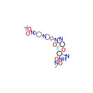 CCN(C)S(=O)(=O)Nc1ccc(F)c(Oc2ccc3ncn(C4CC5(CCN(C6CCC7(CC6)CN(C(=O)OC(C)(C)C)C7)CC5)C4)c(=O)c3c2)c1C#N